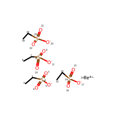 CCS(=O)(=O)[O-].CCS(=O)(=O)[O-].CCS(=O)(=O)[O-].CCS(=O)(=O)[O-].[Re+4]